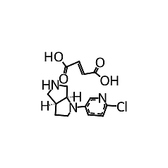 Clc1ccc(N2CC[C@H]3CNC[C@H]32)cn1.O=C(O)/C=C/C(=O)O